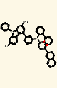 CC(C)(C)c1ccc2c3c(-c4cccc(N(c5ccc(-c6ccc7ccccc7c6)cc5)c5ccccc5-c5ccccc5)c4)cc(C(C)(C)C)cc3n(-c3ccccc3)c2c1